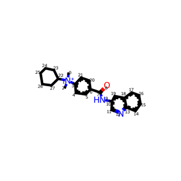 C[N+](C)(c1ccc(C(=O)Nc2cnc3ccccc3c2)cc1)C1CCCCC1